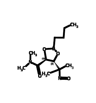 CCCCB1O[C@H](C(=O)N(C)C)[C@@H](C(C)(C)N=O)O1